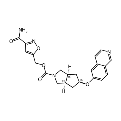 NC(=O)c1cc(COC(=O)N2C[C@H]3C[C@@H](Oc4ccc5cnccc5c4)C[C@H]3C2)on1